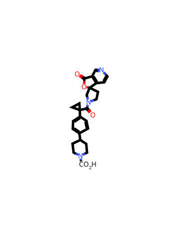 O=C1OC2(CCN(C(=O)C3(c4ccc(C5CCN(C(=O)O)CC5)cc4)CC3)C2)c2ccncc21